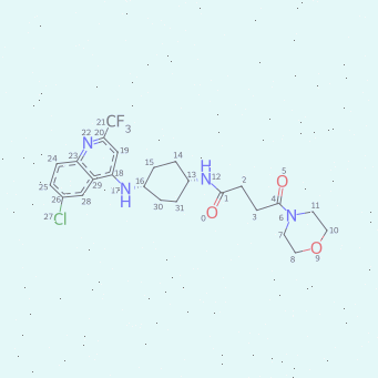 O=C(CCC(=O)N1CCOCC1)N[C@H]1CC[C@@H](Nc2cc(C(F)(F)F)nc3ccc(Cl)cc23)CC1